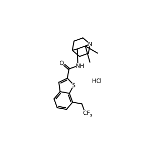 CC1(C)C(NC(=O)c2cc3cccc(CC(F)(F)F)c3s2)C2CCN1CC2.Cl